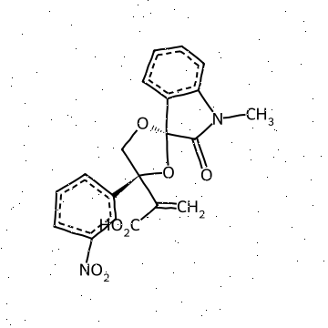 C=C(C(=O)O)[C@]1(c2cccc([N+](=O)[O-])c2)CO[C@@]2(O1)C(=O)N(C)c1ccccc12